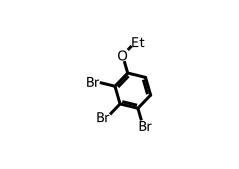 [CH2]COc1ccc(Br)c(Br)c1Br